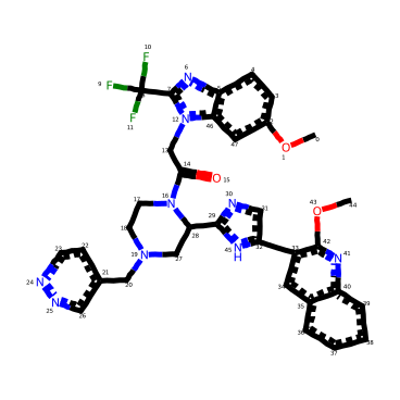 COc1ccc2nc(C(F)(F)F)n(CC(=O)N3CCN(Cc4ccnnc4)CC3c3ncc(-c4cc5ccccc5nc4OC)[nH]3)c2c1